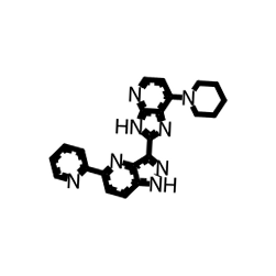 c1ccc(-c2ccc3[nH]nc(-c4nc5c(N6CCCCC6)ccnc5[nH]4)c3n2)nc1